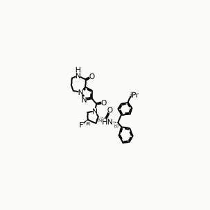 CC(C)c1ccc([C@@H](NC(=O)[C@@H]2C[C@@H](F)CN2C(=O)c2cc3n(n2)CCCNC3=O)c2ccccc2)cc1